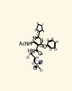 CC(=O)Nc1nc(C2CCCC2)nc(Oc2ccccc2)c1C(=O)N[C@@H](C)/C=C/S(C)(=O)=O